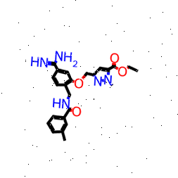 CCOC(=O)c1cc(COc2cc(C(=N)N)ccc2CNC(=O)c2cccc(C)c2)nn1C